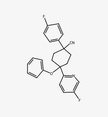 N#CC1(c2ccc(F)cc2)CCC(Oc2ccccc2)(c2ccc(F)cn2)CC1